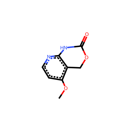 COc1ccnc2c1COC(=O)N2